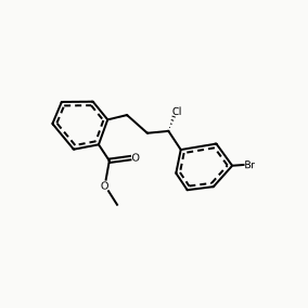 COC(=O)c1ccccc1CC[C@H](Cl)c1cccc(Br)c1